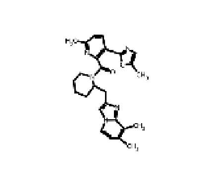 Cc1ccc(-c2ncc(C)o2)c(C(=O)N2CCCCC2Cc2cn3ccc(C)c(C)c3n2)n1